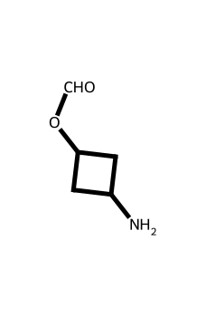 NC1CC(OC=O)C1